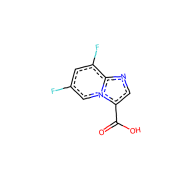 O=C(O)c1cnc2c(F)cc(F)cn12